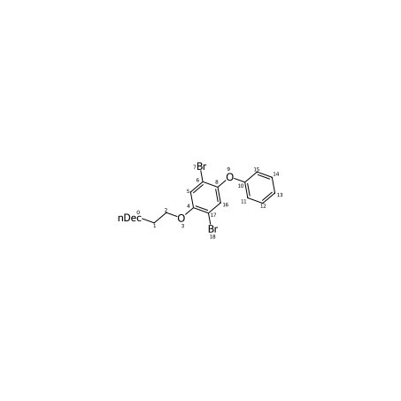 CCCCCCCCCCCCOc1cc(Br)c(Oc2ccccc2)cc1Br